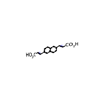 O=C(O)/C=C/c1ccc2cc(/C=C/C(=O)O)ccc2c1